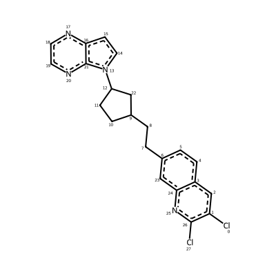 Clc1cc2ccc(CCC3CCC(n4ccc5nccnc54)C3)cc2nc1Cl